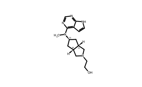 CN(c1ncnc2[nH]ccc12)[C@H]1C[C@@H]2CN(CCO)C[C@@H]2C1